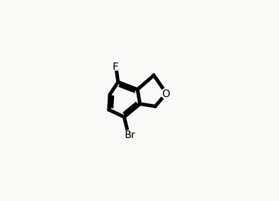 Fc1ccc(Br)c2c1COC2